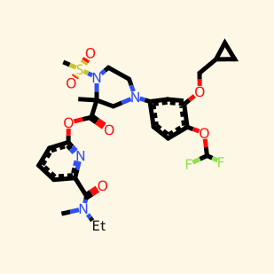 CCN(C)C(=O)c1cccc(OC(=O)C2(C)CN(c3ccc(OC(F)F)c(OCC4CC4)c3)CCN2S(C)(=O)=O)n1